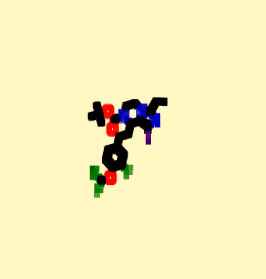 CCc1nc(I)c2n1CCN(C(=O)OC(C)(C)C)C2CCc1ccc(OC(F)F)c(F)c1